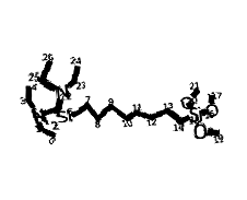 CCN(CC)C([SiH2]CCCCCCCC[Si](OC)(OC)OC)N(CC)CC